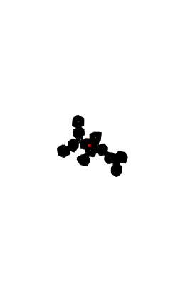 c1ccc(-c2ccc(N(c3ccc(-c4ccccc4)cc3)c3cccc(-c4ccccc4-n4c5ccc(-c6ccccc6)cc5c5cc(-c6ccc7c(c6)c6ccccc6n7-c6ccccc6)ccc54)c3)cc2)cc1